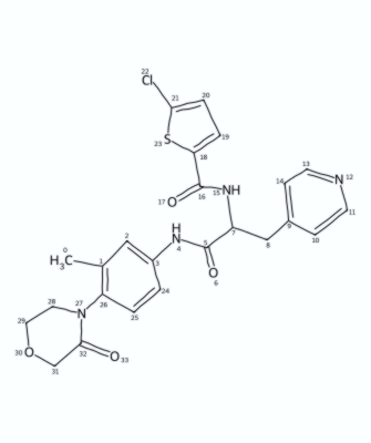 Cc1cc(NC(=O)C(Cc2ccncc2)NC(=O)c2ccc(Cl)s2)ccc1N1CCOCC1=O